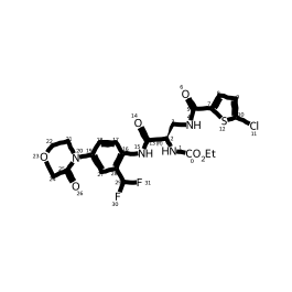 CCOC(=O)N[C@H](CNC(=O)c1ccc(Cl)s1)C(=O)Nc1ccc(N2CCOCC2=O)cc1C(F)F